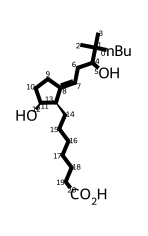 CCCCC(C)(C)C(O)CC=C1CC[C@H](O)[C@@H]1CCCCCCC(=O)O